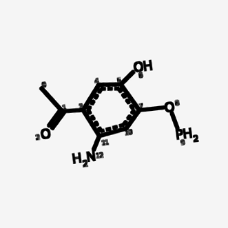 CC(=O)c1cc(O)c(OP)cc1N